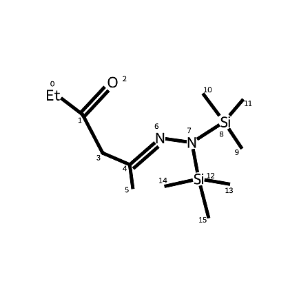 CCC(=O)CC(C)=NN([Si](C)(C)C)[Si](C)(C)C